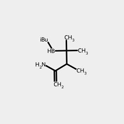 C=C(N)C(C)C(C)(C)BC(C)CC